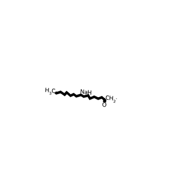 [CH2]C(=O)CCCCCCCCCCCCCCC.[NaH]